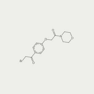 O=C(CBr)c1ccc(OCC(=O)N2CCOCC2)cc1